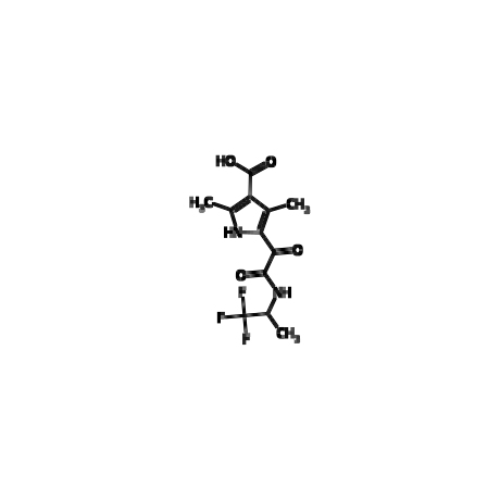 Cc1[nH]c(C(=O)C(=O)NC(C)C(F)(F)F)c(C)c1C(=O)O